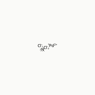 [Cl-].[Cl-].[N].[Pd+2]